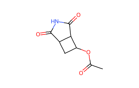 CC(=O)OC1CC2C(=O)NC(=O)C12